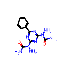 NC(=O)N(N)c1nc(-c2ccccc2)nc(N(N)C(N)=O)n1